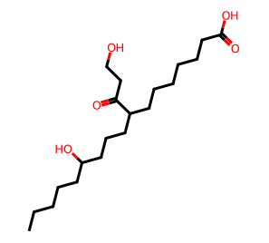 CCCCCC(O)CCCC(CCCCCCC(=O)O)C(=O)CCO